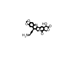 NCC#Cc1c2c(nc3cc4c(cc13)OCO4)-c1cc3c(c(=O)n1C2)COC(=O)[C@H]3O